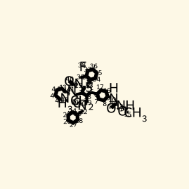 C=C1c2c(sc(-c3ccc(NC(=O)NOC)cc3)c2CN(C)Cc2ccccc2)N(Cc2c(F)cccc2F)C(=O)N1c1ccccn1